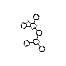 c1ccc(-c2cc(-c3ccccc3)nc(-c3cccc(-c4nc(-c5ccccc5)c5sc6ccccc6c5n4)c3)c2)cc1